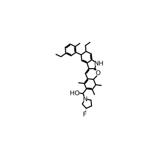 CCc1ccc(C)c(C2C=C3C(=CC2CC)NC(=O)/C3=C\C2=C(C)C(C(O)N3CC[C@H](F)C3)=C(C)C(C)C2C)c1